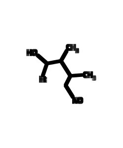 CCC(O)C(C)C(C)CN=O